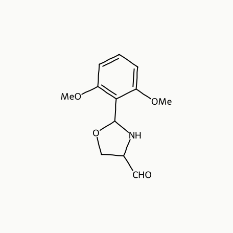 COc1cccc(OC)c1C1NC(C=O)CO1